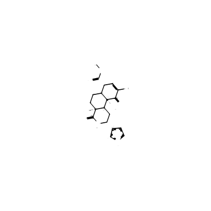 COC(=O)[C@@H]1C=C(O)C(=O)[C@H]2[C@@]1(C)CC[C@H]1C(=O)O[C@@H](c3ccoc3)C[C@]21C